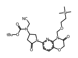 CC(C)(C)OC(=O)N(CC#N)C1CC(=O)N(c2ccc3c(n2)N(COCC[Si](C)(C)C)C(=O)CO3)C1